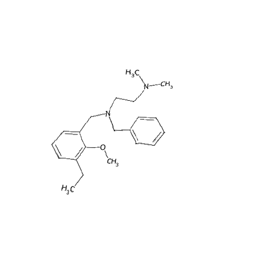 CCc1cccc(CN(CCN(C)C)Cc2ccccc2)c1OC